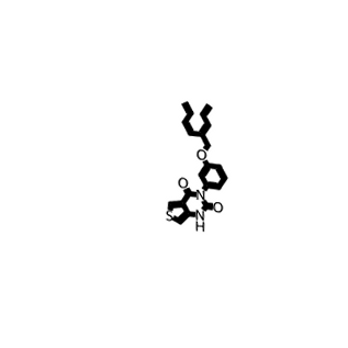 C=C/C=C\C(=C/C=C)COc1cccc(-n2c(=O)[nH]c3cscc3c2=O)c1